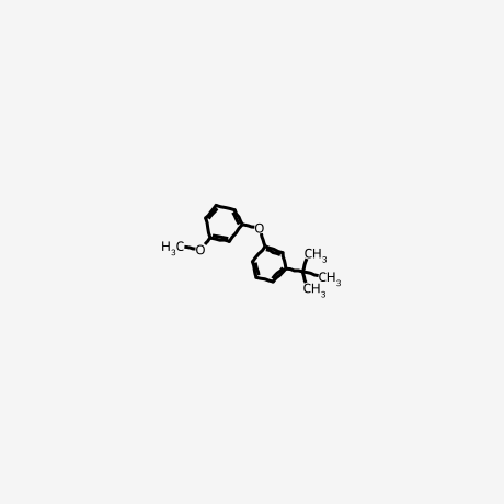 COc1cccc(Oc2cccc(C(C)(C)C)c2)c1